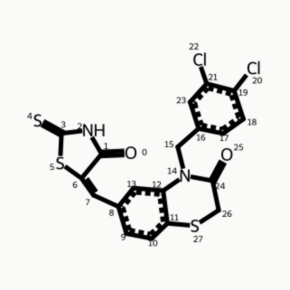 O=C1NC(=S)SC1=Cc1ccc2c(c1)N(Cc1ccc(Cl)c(Cl)c1)C(=O)CS2